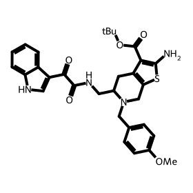 COc1ccc(CN2Cc3sc(N)c(C(=O)OC(C)(C)C)c3CC2CNC(=O)C(=O)c2c[nH]c3ccccc23)cc1